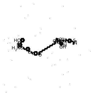 Cc1ncsc1-c1ccc(C(C)NC(=O)[C@@H]2C[C@@H](O)CN2C(=O)C(NC(=O)CCCCCCCCCCCCC(=O)N2CCN(CCOc3cccc(CCOc4cc(-c5ccccc5O)nnc4N)c3)CC2)C(C)(C)C)cc1